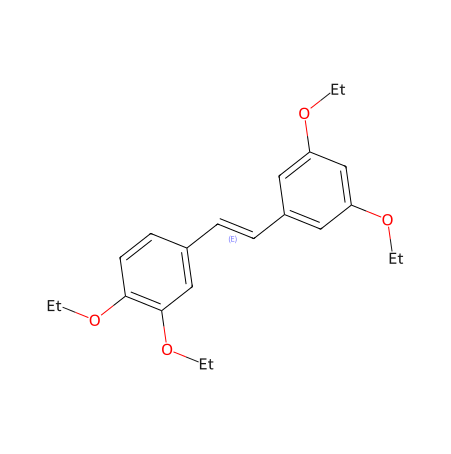 CCOc1cc(/C=C/c2ccc(OCC)c(OCC)c2)cc(OCC)c1